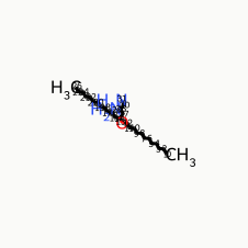 CCCCCCCCCCCCCOC(CCCCCCCCCCCC)CC(N)CN